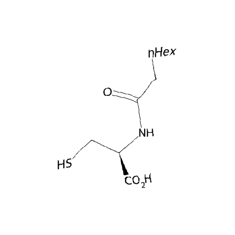 CCCCCCCC(=O)N[C@H](CS)C(=O)O